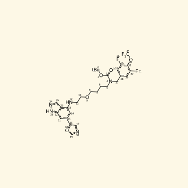 CC(C)(C)OC(=O)N(CCCCOCCNc1cc(-c2cnco2)cc2[nH]ncc12)Cc1cc(F)c(OC(F)(F)F)c(F)c1